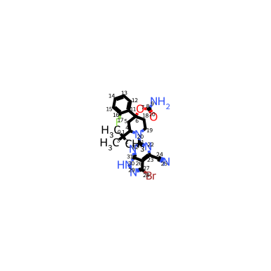 CC(C)(C)C1CC(OC(N)=O)(c2ccccc2F)CCN1c1nc(C#N)c2c(Br)n[nH]c2n1